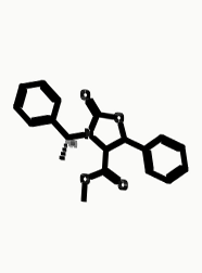 COC(=O)C1C(c2ccccc2)OC(=O)N1[C@H](C)c1ccccc1